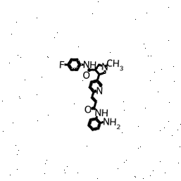 CN1CC(C(=O)Nc2ccc(F)cc2)C(c2ccc(/C=C/C(=O)Nc3ccccc3N)nc2)C1